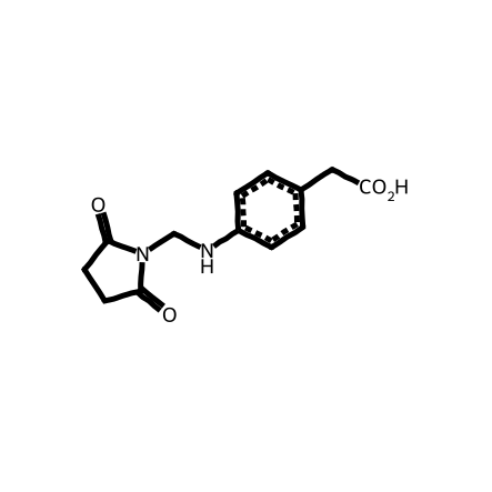 O=C(O)Cc1ccc(NCN2C(=O)CCC2=O)cc1